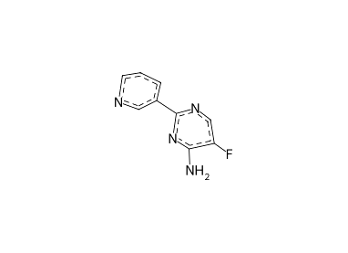 Nc1nc(-c2cccnc2)ncc1F